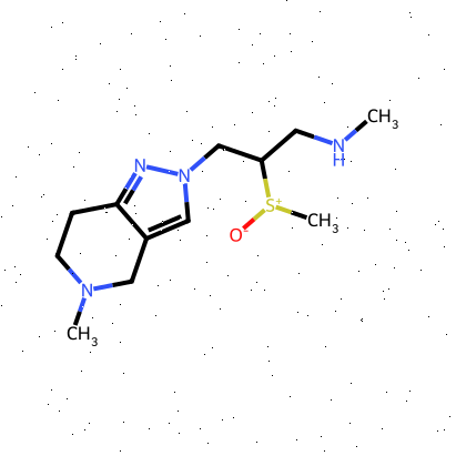 CNCC(Cn1cc2c(n1)CCN(C)C2)[S+](C)[O-]